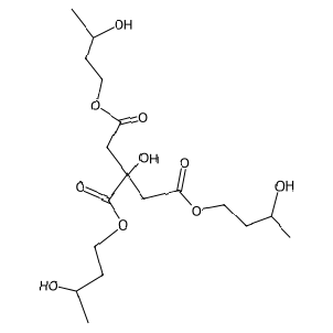 CC(O)CCOC(=O)CC(O)(CC(=O)OCCC(C)O)C(=O)OCCC(C)O